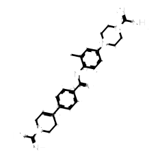 Cc1cc(N2CCN(C(=N)N)CC2)ccc1NC(=O)c1ccc(C2=CCN(C(=N)N)CC2)cc1